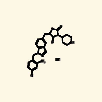 Cl.O=C1SC(=Cc2ccc3c(cnn3Cc3ccc(Cl)cc3C(F)(F)F)c2)C(=O)N1C1CCNCC1